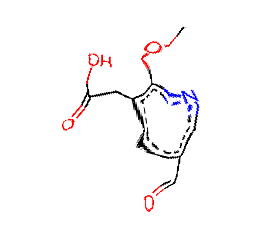 COc1ncc(C=O)cc1C(=O)O